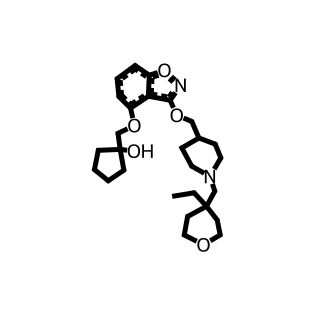 CCC1(CN2CCC(COc3noc4cccc(OCC5(O)CCCC5)c34)CC2)CCOCC1